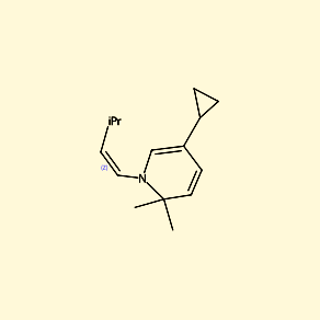 CC(C)/C=C\N1C=C(C2CC2)C=CC1(C)C